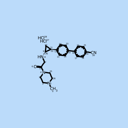 CN1CCN(C(=O)CN[C@@H]2C[C@H]2c2ccc(-c3ccc(C#N)cc3)cc2)CC1.Cl.Cl